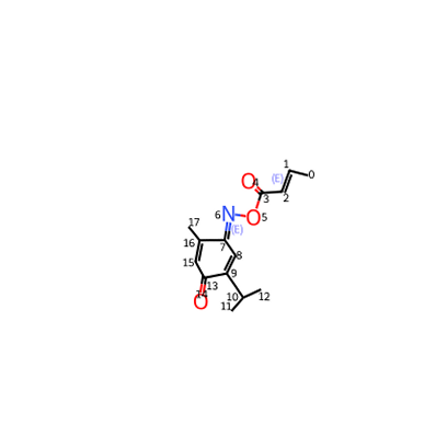 C/C=C/C(=O)O/N=C1\C=C(C(C)C)C(=O)C=C1C